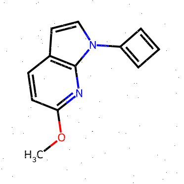 COc1ccc2ccn(C3=CC=C3)c2n1